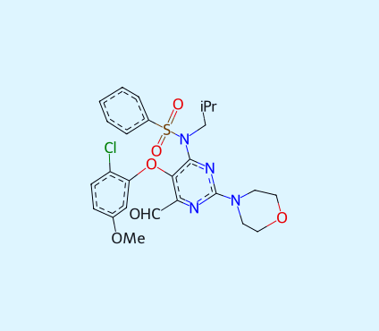 COc1ccc(Cl)c(Oc2c(C=O)nc(N3CCOCC3)nc2N(CC(C)C)S(=O)(=O)c2ccccc2)c1